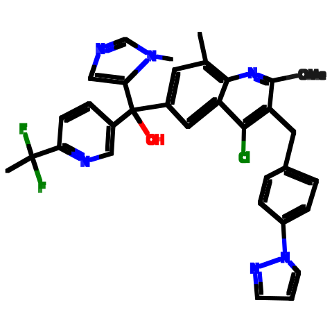 COc1nc2c(C)cc(C(O)(c3ccc(C(C)(F)F)nc3)c3cncn3C)cc2c(Cl)c1Cc1ccc(-n2cccn2)cc1